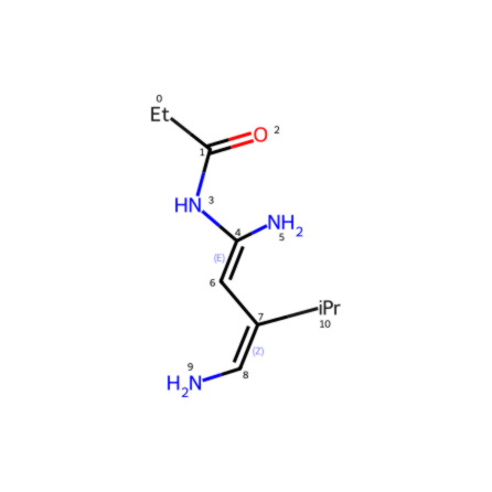 CCC(=O)N/C(N)=C/C(=C\N)C(C)C